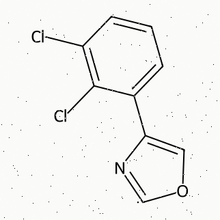 Clc1cccc(-c2co[c]n2)c1Cl